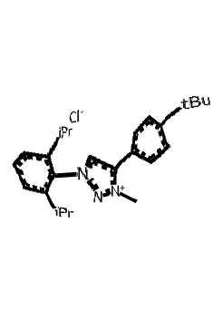 CC(C)c1cccc(C(C)C)c1-n1cc(-c2ccc(C(C)(C)C)cc2)[n+](C)n1.[Cl-]